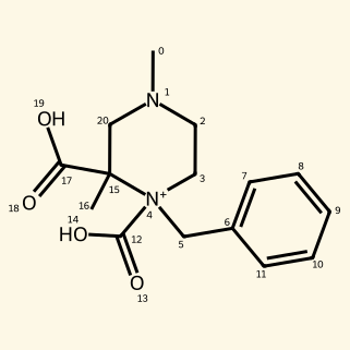 CN1CC[N+](Cc2ccccc2)(C(=O)O)C(C)(C(=O)O)C1